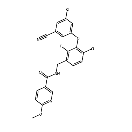 COc1ccc(C(=O)NCc2ccc(Cl)c(Oc3cc(Cl)cc(C#N)c3)c2F)cn1